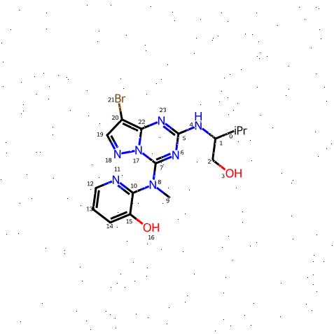 CC(C)C(CO)Nc1nc(N(C)c2ncccc2O)n2ncc(Br)c2n1